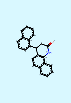 O=C1CC(c2cccc3ccccc23)c2ccc3ccccc3c2N1